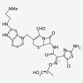 CNCCNc1cc2c(ccc[n+]2CC2=C(C=O)N3C(=O)C(NC(=O)/C(=N\O[C@@H](C)C(=O)O)c4nc(N)sc4Cl)C3SC2)[nH]1